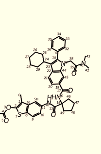 Cc1c(OC(=O)O)sc2ccc(NC(=O)C3(NC(=O)c4ccc5c(C6CCCCC6)c(-c6ccccc6)n(CC(=O)N(C)C)c5c4)CCCC3)cc12